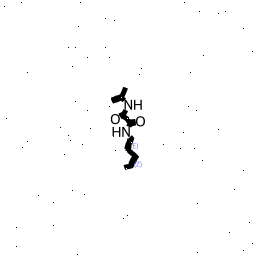 C=C(C)NC(=O)C(=O)N/C=C/C=C\C